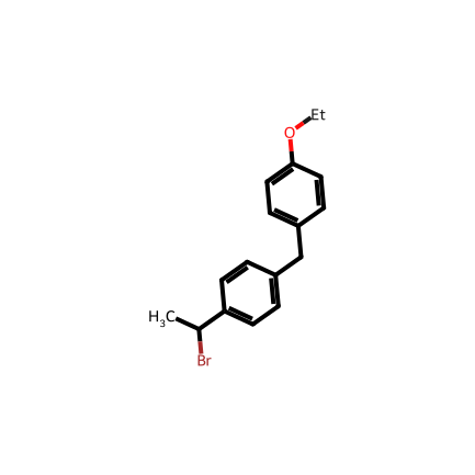 CCOc1ccc(Cc2ccc(C(C)Br)cc2)cc1